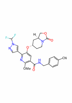 COc1nc(-c2cnn(C(F)F)c2)c(O[C@H]2CCN3C(=O)OC[C@@H]3C2)cc1C(=O)NCc1ccc(C#N)cc1